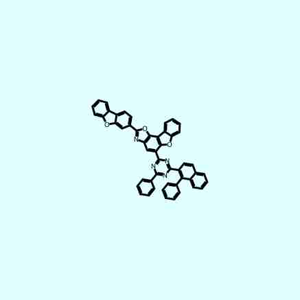 c1ccc(-c2nc(-c3ccc4ccccc4c3-c3ccccc3)nc(-c3cc4nc(-c5ccc6c(c5)oc5ccccc56)oc4c4c3oc3ccccc34)n2)cc1